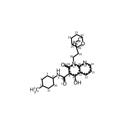 CC1CCC(NC(=O)c2c(O)c3cccnc3n(CCN3CC4CCC3CO4)c2=O)CC1